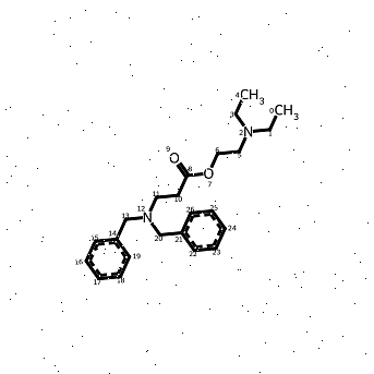 CCN(CC)CCOC(=O)CCN(Cc1ccccc1)Cc1ccccc1